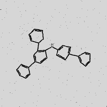 C1=CCC(c2cc(-c3ccccc3)ccc2Nc2ccc(-c3ccccc3)cc2)C=C1